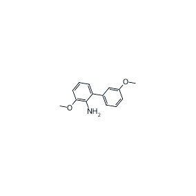 COc1cccc(-c2cccc(OC)c2N)c1